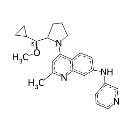 CO[C@@H](C1CC1)C1CCCN1c1cc(C)nc2cc(Nc3cccnc3)ccc12